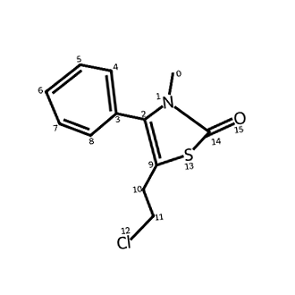 Cn1c(-c2ccccc2)c(CCCl)sc1=O